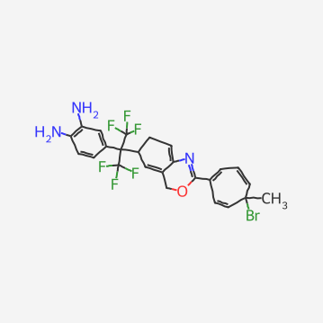 CC1(Br)C=CC=C(C2=NC3=CCC(C(c4ccc(N)c(N)c4)(C(F)(F)F)C(F)(F)F)C=C3CO2)C=C1